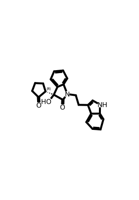 O=C1CCC[C@@H]1C1(O)C(=O)N(CCc2c[nH]c3ccccc23)c2ccccc21